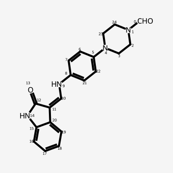 O=CN1CCN(c2ccc(N/C=C3\C(=O)Nc4ccccc43)cc2)CC1